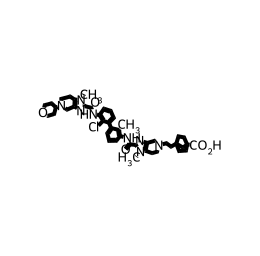 Cc1c(NC(=O)c2nc3c(n2C)CCN(CCC24CCC(C(=O)O)(CC2)C4)C3)cccc1-c1cccc(NC(=O)c2nc3c(n2C)CCN(C2CCOCC2)C3)c1Cl